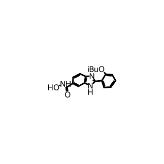 CC(C)COc1ccccc1-c1nc2ccc(C(=O)NO)cc2[nH]1